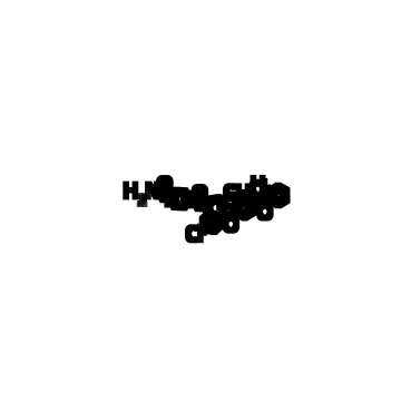 COc1cc(NC(=O)c2ccccc2Cl)ccc1C(=O)N1CCCC(CC(=O)N2CCN(CC(N)=O)CC2)c2cc(Cl)ccc21